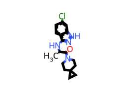 C[C@@H](Nc1n[nH]c2cc(Cl)ccc12)C(=O)N1CCC2(CC1)CC2